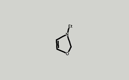 CCN1C=COC1